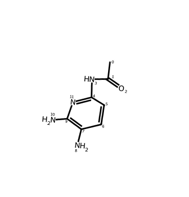 CC(=O)Nc1ccc(N)c(N)n1